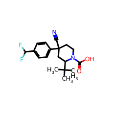 CC(C)(C)C1CC(C#N)(c2ccc(C(F)F)cc2)CCN1C(=O)O